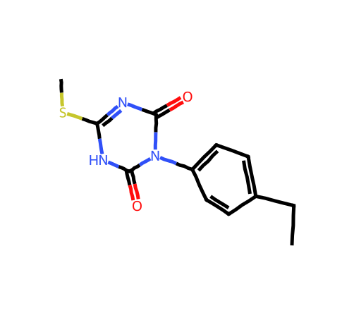 CCc1ccc(-n2c(=O)nc(SC)[nH]c2=O)cc1